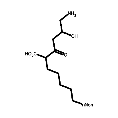 CCCCCCCCCCCCCCC(C(=O)O)C(=O)CC(O)CN